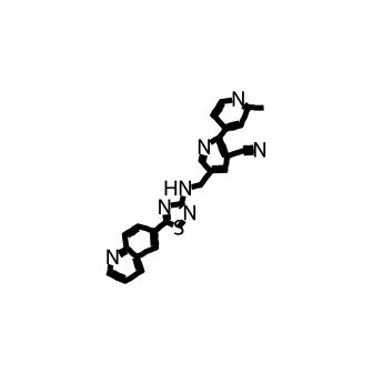 Cc1cc(-c2ncc(CNc3nsc(-c4ccc5ncccc5c4)n3)cc2C#N)ccn1